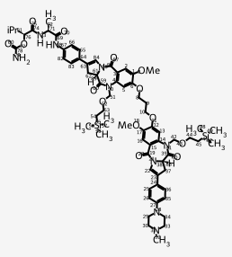 COc1cc2c(cc1OCCCOc1cc3c(cc1OC)C(=O)N1C=C(c4ccc(N5CCN(C)CC5)cc4)C[C@H]1C(=O)N3COCC[Si](C)(C)C)N(COCC[Si](C)(C)C)C(=O)[C@@H]1CC(c3ccc(NC(=O)[C@H](C)NC(=O)[C@@H](OC(N)=O)C(C)C)cc3)=CN1C2=O